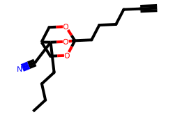 C#CCCCCC12OCC(CO1)C(C#N)(CCCC)O2